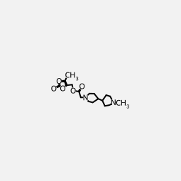 Cc1oc(=O)oc1COC(=O)CN1CCC(C2CCN(C)CC2)CC1